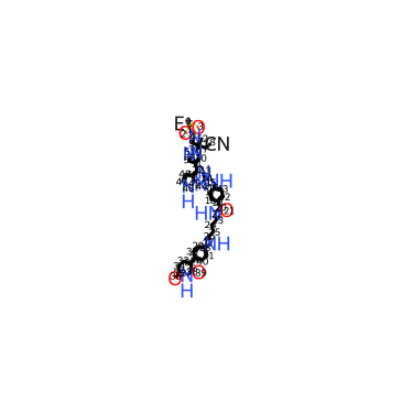 CCS(=O)(=O)N1CC(CC#N)(n2cc(-c3nc(Nc4ccc(C(=O)NCCCCNc5ccc(C6CCC(=O)NC6=O)cc5)cc4)nc4[nH]ccc34)cn2)C1